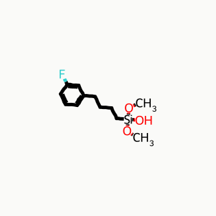 CO[Si](O)(CCCCc1cccc(F)c1)OC